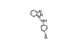 N#Cc1ccc(NCn2nnc3ccccc32)cc1